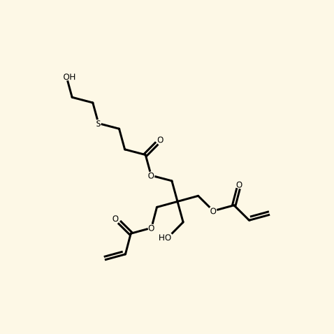 C=CC(=O)OCC(CO)(COC(=O)C=C)COC(=O)CCSCCO